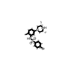 Cc1ccc(N2C[C@@H](C)N[C@@H](C)C2)cc1NS(=O)(=O)c1ccc(Br)cc1